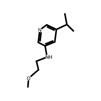 COCCNc1cncc(C(C)C)c1